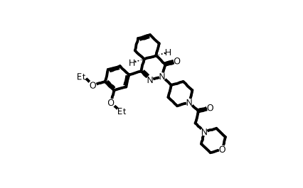 CCOc1ccc(C2=NN(C3CCN(C(=O)CN4CCOCC4)CC3)C(=O)[C@@H]3CC=CC[C@H]23)cc1OCC